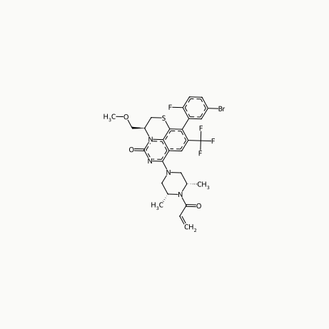 C=CC(=O)N1[C@H](C)CN(c2nc(=O)n3c4c(c(-c5cc(Br)ccc5F)c(C(F)(F)F)cc24)SC[C@@H]3COC)C[C@@H]1C